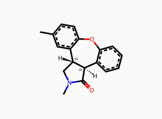 Cc1ccc2c(c1)[C@H]1CN(C)C(=O)[C@@H]1c1ccccc1O2